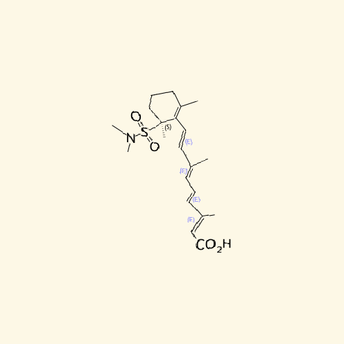 CC1=C(/C=C/C(C)=C/C=C/C(C)=C/C(=O)O)[C@@](C)(S(=O)(=O)N(C)C)CCC1